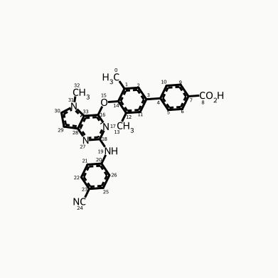 Cc1cc(-c2ccc(C(=O)O)cc2)cc(C)c1Oc1nc(Nc2ccc(C#N)cc2)nc2ccn(C)c12